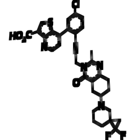 Cc1nc2c(c(=O)n1CC#Cc1ccc(Cl)cc1-c1ccnc3c(C(=O)O)csc13)CC(N1CCCC3(C1)CC3(F)F)CC2